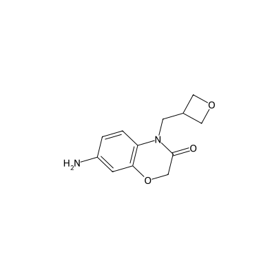 Nc1ccc2c(c1)OCC(=O)N2CC1COC1